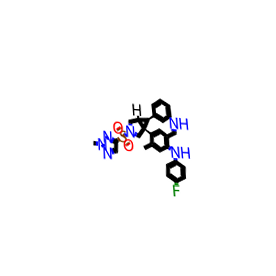 Cc1cc(Nc2ccc(F)cc2)c(C=N)cc1[C@@]12CN(S(=O)(=O)c3cnn(C)n3)C[C@@H]1[C@H]2c1ccccc1